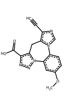 C#Cc1ncn2c1Cc1c(C(=O)O)nnn1-c1cc(OC)ccc1-2